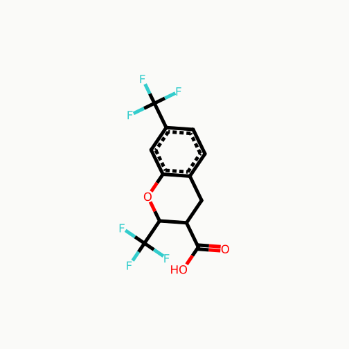 O=C(O)C1Cc2ccc(C(F)(F)F)cc2OC1C(F)(F)F